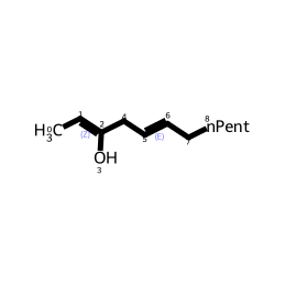 C/C=C(\O)C/C=C/CCCCCC